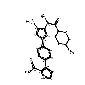 CC1CCC(C(=O)N(c2nn(-c3ccc(-c4ccsc4C(N)=O)cc3)cc2C(=O)O)C(C)C)CC1